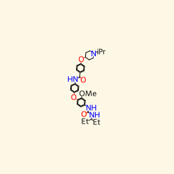 CCC(CC)NC(=O)Nc1ccc(Oc2ccc(NC(=O)c3ccc(OC4CCN(C(C)C)CC4)cc3)cc2)c(OC)c1